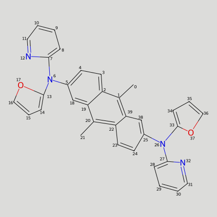 Cc1c2ccc(N(c3ccccn3)c3ccco3)cc2c(C)c2ccc(N(c3ccccn3)c3ccco3)cc12